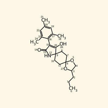 CCCC1COC2(CCC3(CC2)NC(=O)C(c2c(C)cc(C)cc2C)=C3O)O1